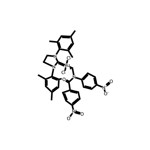 Cc1cc(C)c(N2CCN(c3c(C)cc(C)cc3C)[C]2=[Ru]([Cl])([Cl])=[CH]N(C(=O)c2ccc([N+](=O)[O-])cc2)c2ccc([N+](=O)[O-])cc2)c(C)c1